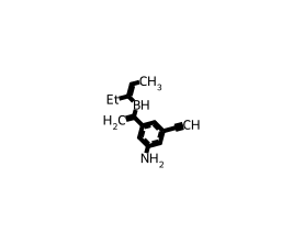 C#Cc1cc(N)cc(C(=C)B/C(=C\C)CC)c1